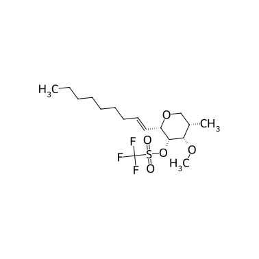 CCCCCCC/C=C/[C@@H]1OC[C@H](C)[C@H](OC)[C@@H]1OS(=O)(=O)C(F)(F)F